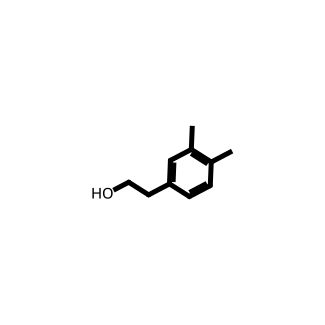 Cc1ccc(CCO)cc1C